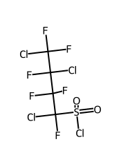 O=S(=O)(Cl)C(F)(Cl)C(F)(F)C(F)(Cl)C(F)(F)Cl